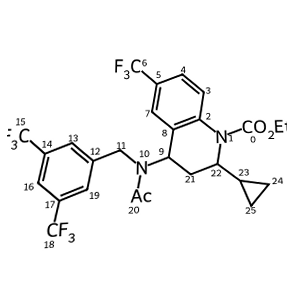 CCOC(=O)N1c2ccc(C(F)(F)F)cc2C(N(Cc2cc(C(F)(F)F)cc(C(F)(F)F)c2)C(C)=O)CC1C1CC1